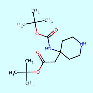 CC(C)(C)OC(=O)CC1(NC(=O)OC(C)(C)C)CCNCC1